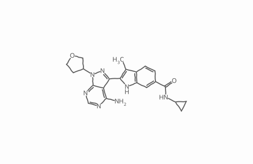 Cc1c(-c2nn(C3CCOC3)c3ncnc(N)c23)[nH]c2cc(C(=O)NC3CC3)ccc12